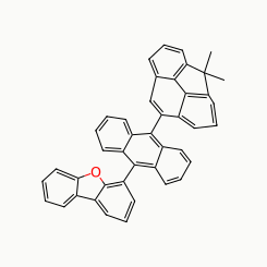 CC1(C)c2cccc3cc(-c4c5ccccc5c(-c5cccc6c5oc5ccccc56)c5ccccc45)c4cccc1c4c23